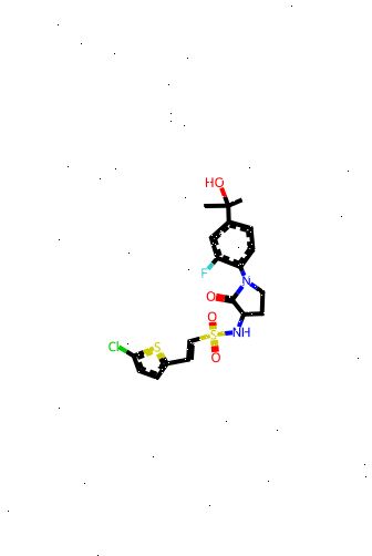 CC(C)(O)c1ccc(N2CCC(NS(=O)(=O)/C=C/c3ccc(Cl)s3)C2=O)c(F)c1